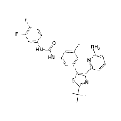 CC(C)(C)c1nc(-c2ccnc(N)n2)c(-c2cc(F)cc(NC(=O)Nc3ccc(F)c(F)c3)c2)s1